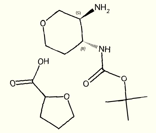 CC(C)(C)OC(=O)N[C@@H]1CCOC[C@H]1N.O=C(O)C1CCCO1